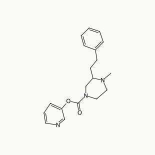 CN1CCN(C(=O)Oc2cccnc2)CC1CCc1ccccc1